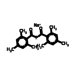 Cc1cc(C)c(C(=O)[P-]C(=O)c2c(C)cc(C)cc2C)c(C)c1.[Na+]